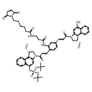 CC(C)(C)OP(=O)(Oc1cc2c(c3ccccc13)[C@H](CCl)CN2C(=O)C=Cc1ccc(C=CC(=O)N2C[C@@H](CCl)c3c2cc(O)c2ccccc32)cc1NC(=O)CCNC(=O)CCCCCN1C(=O)C=CC1=O)OC(C)(C)C